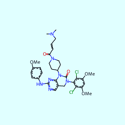 COc1ccc(Nc2ncc3c(n2)N(C2CCN(C(=O)C=CCN(C)C)CC2)C(=O)N(c2c(Cl)c(OC)cc(OC)c2Cl)C3)cc1